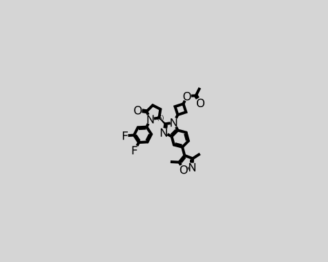 CC(=O)OC1CC(n2c([C@@H]3CCC(=O)N3c3ccc(F)c(F)c3)nc3cc(-c4c(C)noc4C)ccc32)C1